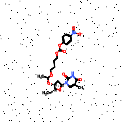 CC[C@H]1O[C@@H](n2cc(C)c(=O)[nH]c2=O)C[C@H]1OC(C)OCCCCOC(=O)Oc1ccc([N+](=O)[O-])cc1